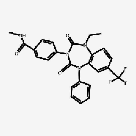 CCN1C(=O)N(c2ccc(C(=O)NC)cc2)C(=O)N(c2ccccc2)c2cc(C(F)(F)F)ccc21